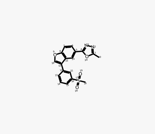 Cc1nnc(-c2ccc3occ(-c4cccc(S(C)(=O)=O)c4)c3c2)o1